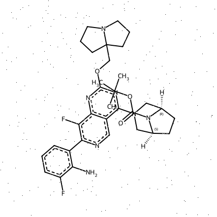 CC(C)(C)OC(=O)N1[C@@H]2CC[C@H]1CN(c1nc(OCC34CCCN3CCC4)nc3c(F)c(-c4cccc(F)c4N)ncc13)C2